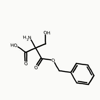 NC(CO)(C(=O)O)C(=O)OCc1ccccc1